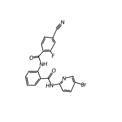 N#Cc1ccc(C(=O)Nc2ccccc2C(=O)Nc2ccc(Br)cn2)c(F)c1